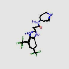 O=C(CC1NC2CC(C(F)(F)F)CC(C(F)(F)F)C2N1)NC1CCNCC1